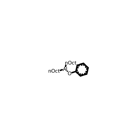 CCCCCCC[CH2][Al]([CH2]CCCCCCC)[O]c1ccccc1